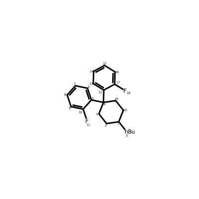 CCCCC1CCC(c2ccccc2F)(c2ccccc2F)CC1